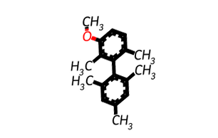 COc1ccc(C)c(-c2c(C)cc(C)cc2C)c1C